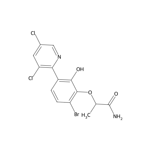 CC(Oc1c(Br)ccc(-c2ncc(Cl)cc2Cl)c1O)C(N)=O